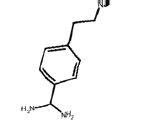 [N-]=[N+]=NCCc1ccc(C(N)N)cc1